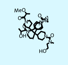 COC(C)C(=O)N1CCC(C2(C3CCN(C(C)=O)CC3)N(C(=O)C(C)O)CC[CH]C2(C2CCN(C(=O)N(C)C)CC2)C2CCN(C(=O)N(C)CCO)CC2)CC1